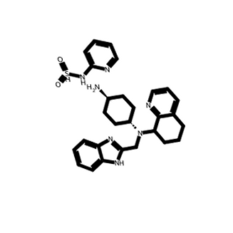 N[C@H]1CC[C@H](N(Cc2nc3ccccc3[nH]2)C2CCCc3cccnc32)CC1.O=[SH](=O)Nc1ccccn1